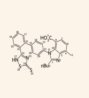 CCCCc1nc2c(C)ccc(C(=O)O)c2n1-c1ccc(-c2ccccc2-c2nc(=S)s[nH]2)cc1